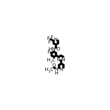 CC(=O)Nc1cc(-c2nccc(-c3cc(NC(=O)c4ccnc(C(F)(F)F)c4)c(F)cc3C)n2)ccn1